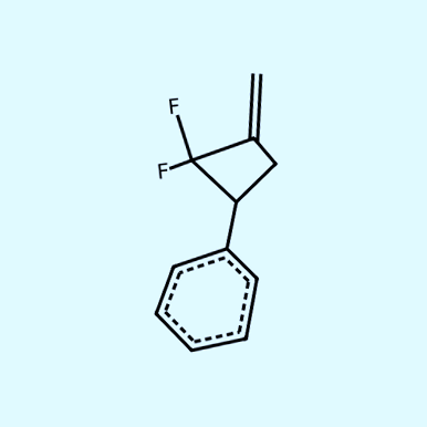 C=C1CC(c2ccccc2)C1(F)F